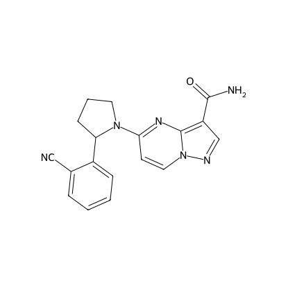 N#Cc1ccccc1C1CCCN1c1ccn2ncc(C(N)=O)c2n1